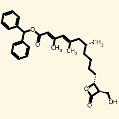 CC(=C\C(=O)OC(c1ccccc1)c1ccccc1)/C=C(\C)C[C@H](C)CCCC[C@H]1OC(=O)[C@@H]1CO